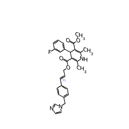 COC(=O)C1=C(C)NC(C)=C(C(=O)OC/C=C/c2ccc(Cn3ccnc3)cc2)C1c1cccc(F)c1